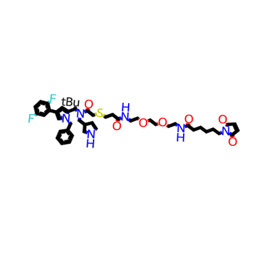 CC(C)(C)C(c1cc(-c2cc(F)ccc2F)cn1Cc1ccccc1)N(CC1CCNC1)C(=O)CSCCC(=O)NCCOCCOCCNC(=O)CCCCCN1C(=O)C=CC1=O